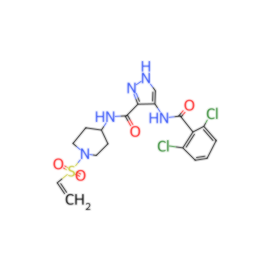 C=CS(=O)(=O)N1CCC(NC(=O)c2n[nH]cc2NC(=O)c2c(Cl)cccc2Cl)CC1